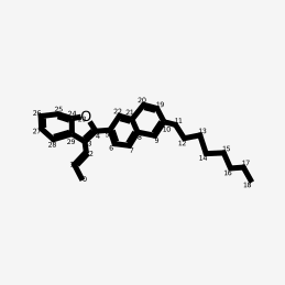 CC=Cc1c(-c2ccc3cc(CCCCCCCC)ccc3c2)oc2ccccc12